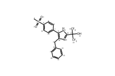 CS(=O)(=O)c1ccc(-c2[nH]c(C(O)(C(F)(F)F)C(F)(F)F)nc2Cc2ccccc2)cc1